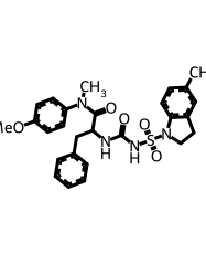 COc1ccc(N(C)C(=O)C(Cc2ccccc2)NC(=O)NS(=O)(=O)N2CCc3cc(C)ccc32)cc1